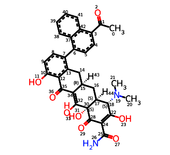 CC(=O)c1ccc(-c2ccc(O)c3c2C[C@H]2C[C@H]4[C@H](N(C)C)C(O)=C(C(N)=O)C(=O)[C@@]4(O)C(O)=C2C3=O)c2ccccc12